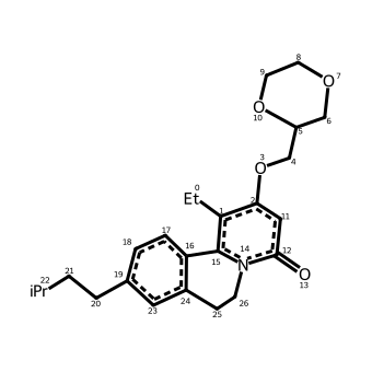 CCc1c(OCC2COCCO2)cc(=O)n2c1-c1ccc(CCC(C)C)cc1CC2